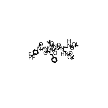 CN(CCN(C=O)c1ccc(C(F)(F)F)cc1)C(=O)[C@H](CCc1ccccc1)NC(=O)[C@H](CC(=O)N(CCNC(=O)OC(C)(C)C)CCNC(=O)OC(C)(C)C)NC(=O)OC(C)(C)C